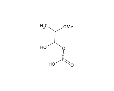 COC(C)C(O)O[PH](=O)O